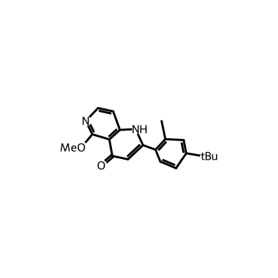 COc1nccc2[nH]c(-c3ccc(C(C)(C)C)cc3C)cc(=O)c12